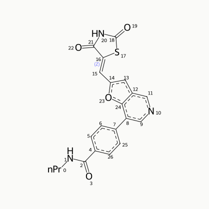 CCCNC(=O)c1ccc(-c2cncc3cc(/C=C4\SC(=O)NC4=O)oc23)cc1